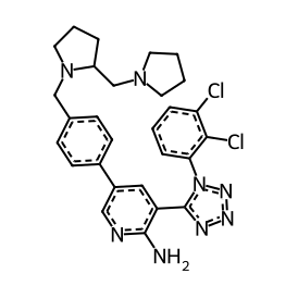 Nc1ncc(-c2ccc(CN3CCCC3CN3CCCC3)cc2)cc1-c1nnnn1-c1cccc(Cl)c1Cl